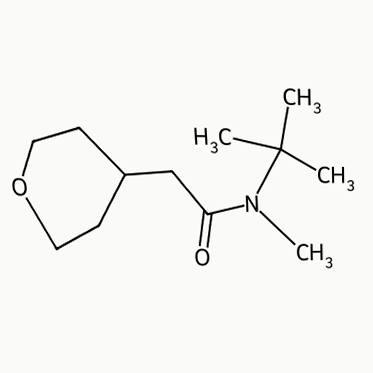 CN(C(=O)CC1CCOCC1)C(C)(C)C